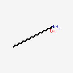 CCCCCCCCCCCCCCCCCC/C(O)=C/N